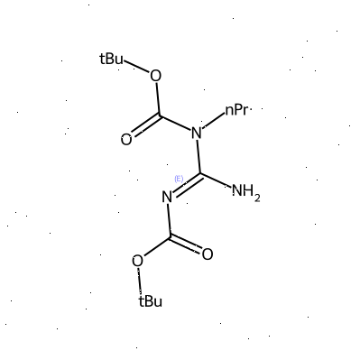 CC[CH]N(C(=O)OC(C)(C)C)/C(N)=N/C(=O)OC(C)(C)C